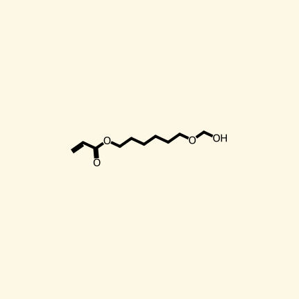 C=CC(=O)OCCCCCCOCO